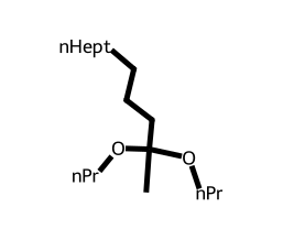 CCCCCCCCCCC(C)(OCCC)OCCC